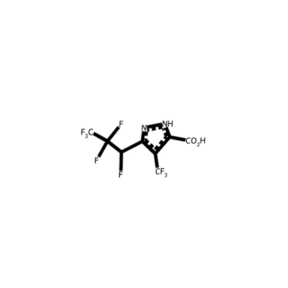 O=C(O)c1[nH]nc(C(F)C(F)(F)C(F)(F)F)c1C(F)(F)F